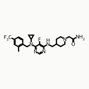 Cc1cc(C(F)(F)F)ccc1CN(c1ncnc(NCC2CCN(CC(N)=O)CC2)c1F)C1CC1